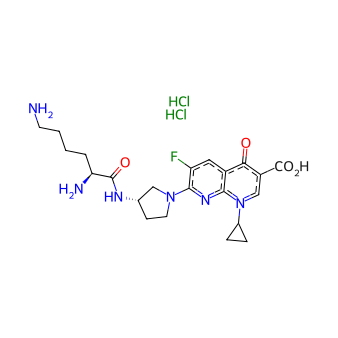 Cl.Cl.NCCCC[C@H](N)C(=O)N[C@H]1CCN(c2nc3c(cc2F)c(=O)c(C(=O)O)cn3C2CC2)C1